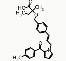 CCC(C)(OCc1ccc(/C=C/Cn2cccc2C(=O)c2ccc(C)cc2)cc1)C(=O)O